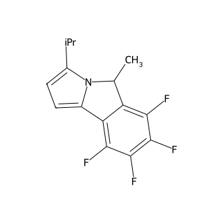 CC(C)c1ccc2n1C(C)c1c(F)c(F)c(F)c(F)c1-2